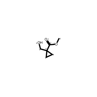 [CH2]OC(=O)C1(CO)CC1